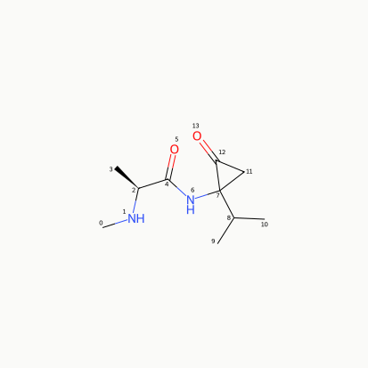 CN[C@@H](C)C(=O)NC1(C(C)C)CC1=O